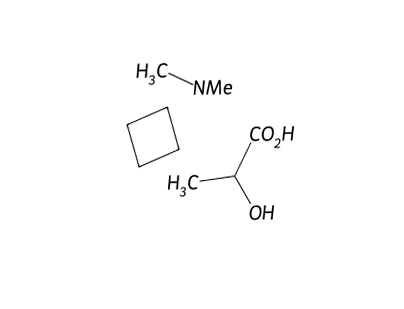 C1CCC1.CC(O)C(=O)O.CNC